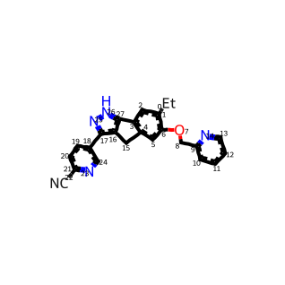 CCc1cc2c(cc1OCc1ccccn1)Cc1c(-c3ccc(C#N)nc3)n[nH]c1-2